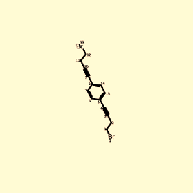 BrCCC#Cc1ccc(C#CCCBr)cc1